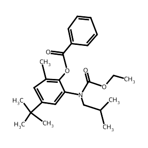 CCOC(=O)N(CC(C)C)c1cc(C(C)(C)C)cc(C)c1OC(=O)c1ccccc1